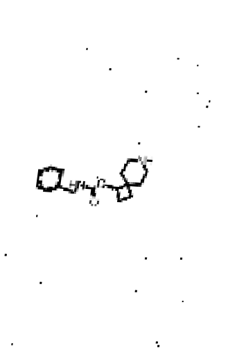 O=C(NCc1ccccc1)OC1CCC12CCNCC2